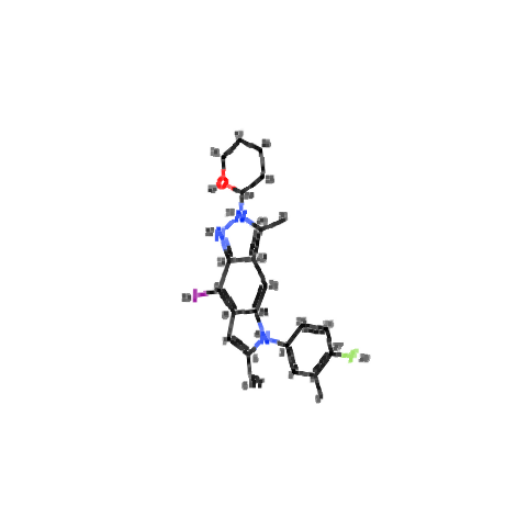 Cc1cc(-n2c(C(C)C)cc3c(I)c4nn(C5CCCCO5)c(C)c4cc32)ccc1F